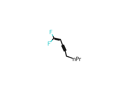 [CH2]CCCC#CC=C(F)F